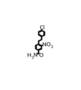 NC(=O)c1ccc(CCc2ccc(Cl)cc2)c([N+](=O)[O-])c1